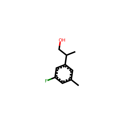 Cc1cc(F)cc(C(C)CO)c1